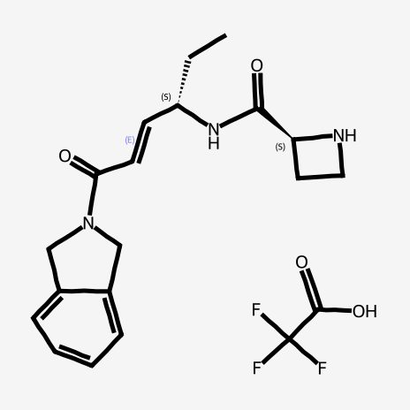 CC[C@@H](/C=C/C(=O)N1Cc2ccccc2C1)NC(=O)[C@@H]1CCN1.O=C(O)C(F)(F)F